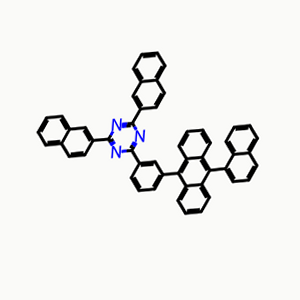 c1cc(-c2nc(-c3ccc4ccccc4c3)nc(-c3ccc4ccccc4c3)n2)cc(-c2c3ccccc3c(-c3cccc4ccccc34)c3ccccc23)c1